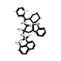 CC(Cc1c[nH]c2ccccc12)(NS(=O)(=O)c1cccc2cccc([N+](=O)[O-])c12)C(=O)NC(c1ccccn1)C1CCCCC1